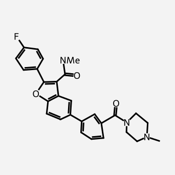 CNC(=O)c1c(-c2ccc(F)cc2)oc2ccc(-c3cccc(C(=O)N4CCN(C)CC4)c3)cc12